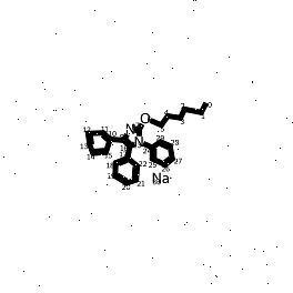 CCCCCCOc1nc(-c2ccccc2)c(-c2ccccc2)n1-c1ccccc1.[Na]